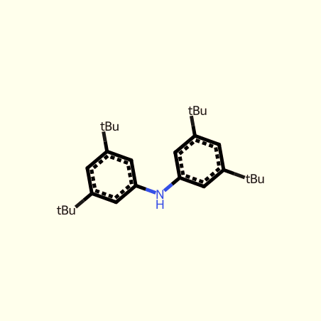 CC(C)(C)c1cc(Nc2cc(C(C)(C)C)cc(C(C)(C)C)c2)cc(C(C)(C)C)c1